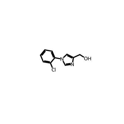 OCc1cn(-c2ccccc2Cl)cn1